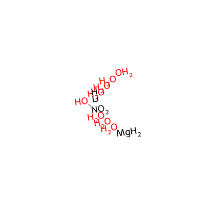 O.O.O.O.O.O.O.O=[N+]([O-])O.[LiH].[MgH2]